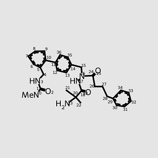 CNC(=O)NCc1ccccc1-c1ccc(CN(NC(=O)C(C)(C)N)C(=O)CCCc2ccccc2)cc1